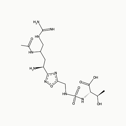 CC(=O)NC(CNC(=N)N)C[C@H](N)c1noc(CNS(=O)(=O)N[C@H](C(=O)O)[C@@H](C)O)n1